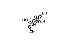 C#Cc1ccc(NC(=O)C2CC(C(=O)O)C(C(=O)Nc3cccc(C#C)c3)CC2C(=O)O)cc1